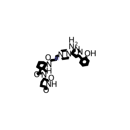 Nc1nnc(-c2ccccc2O)cc1N1CCN(/C=C/C(=O)Nc2cccc3c2CN(C2CCC(=O)NC2=O)C3=O)CC1